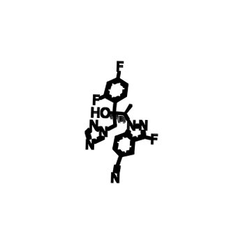 C[C@@H](n1nc(F)c2cc(C#N)ccc21)[C@](O)(Cn1cncn1)c1ccc(F)cc1F